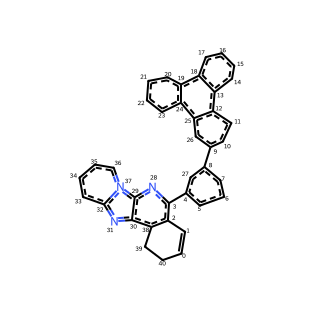 C1=Cc2c(-c3cccc(-c4ccc5c6ccccc6c6ccccc6c5c4)c3)nc3c(nc4ccccn43)c2CC1